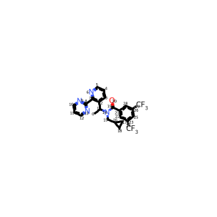 CC(c1cccnc1-c1ncccn1)N(CC1CC1)C(=O)c1cc(C(F)(F)F)cc(C(F)(F)F)c1